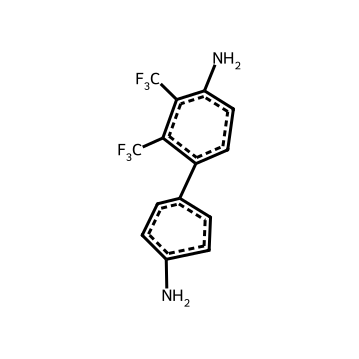 Nc1ccc(-c2ccc(N)c(C(F)(F)F)c2C(F)(F)F)cc1